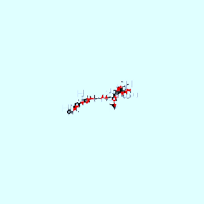 Cc1ncsc1-c1ccc(CNC(=O)[C@@H]2C[C@@H](O)CN2C(=O)[C@@H](NC(=O)C2(F)CC2)C(C)(C)C)c(OCC(=O)NCCCCCNC(=O)c2ccc(C(=O)Nc3ccc4[nH]c(CN5CCC[C@@H]5C)nc4c3)cc2)c1